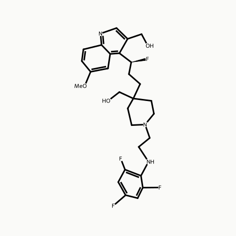 COc1ccc2ncc(CO)c([C@@H](F)CCC3(CO)CCN(CCNc4c(F)cc(F)cc4F)CC3)c2c1